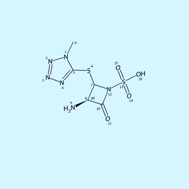 Cn1nnnc1SC1[C@H](N)C(=O)N1S(=O)(=O)O